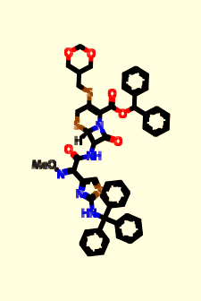 CO/N=C(\C(=O)NC1C(=O)N2C(C(=O)OC(c3ccccc3)c3ccccc3)=C(SCC3COCOC3)CS[C@@H]12)c1csc(NC(c2ccccc2)(c2ccccc2)c2ccccc2)n1